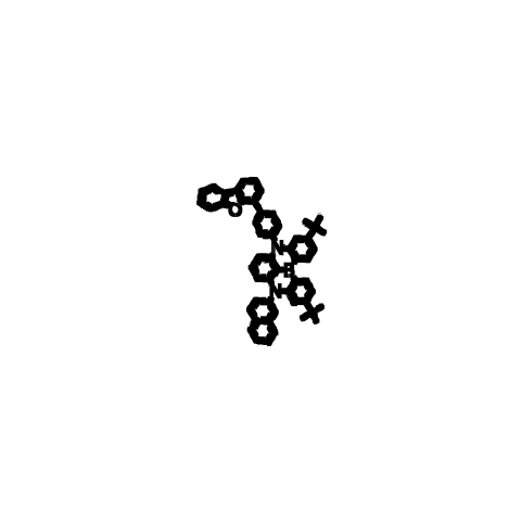 CC(C)(C)c1ccc2c(c1)N(c1ccc(-c3cccc4c3oc3ccccc34)cc1)c1cccc3c1B2c1ccc(C(C)(C)C)cc1N3c1ccc2ccccc2c1